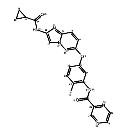 O=C(Nc1cc(Oc2ccc3nc(NC(=O)C4CC4)cn3n2)ccc1F)c1cnccn1